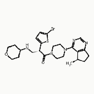 C[C@@H]1CCc2ncnc(N3CCN(C(=O)[C@H](CNC4CCOCC4)c4ccc(Br)s4)CC3)c21